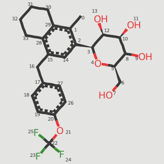 Cc1c([C@@H]2O[C@H](CO)C(O)[C@H](O)[C@@H]2O)cc(Cc2ccc(OC(F)(F)F)cc2)c2c1CCCC2